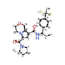 CCC(NC(=O)c1cc(C(=O)N2CCC[C@@H]2C)n2c1COCC2)c1ccc(C(C)(F)F)cc1